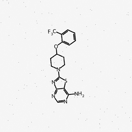 Nc1ncnc2nc(N3CCC(Oc4ccccc4C(F)(F)F)CC3)sc12